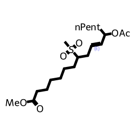 CCCCCC(/C=C/CC(CCCCCCC(=O)OC)S(C)(=O)=O)OC(C)=O